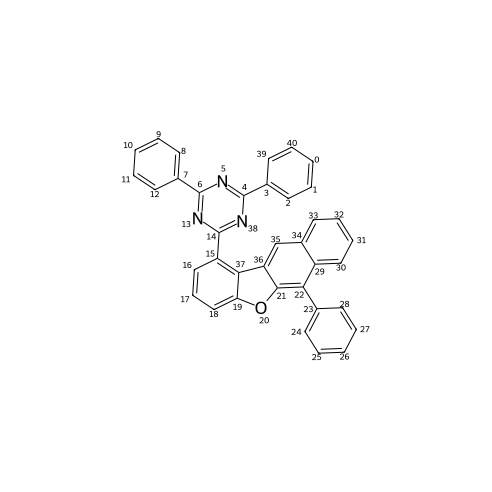 c1ccc(-c2nc(-c3ccccc3)nc(-c3cccc4oc5c(-c6ccccc6)c6ccccc6cc5c34)n2)cc1